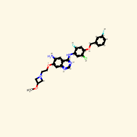 COC1CN(CCOc2cc3ncnc(Nc4cc(Cl)c(OCc5cccc(F)c5)cc4F)c3cc2N)C1